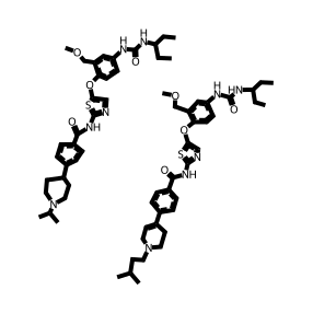 CCC(CC)NC(=O)Nc1ccc(Oc2cnc(NC(=O)c3ccc(C4=CCN(CCC(C)C)CC4)cc3)s2)c(COC)c1.CCC(CC)NC(=O)Nc1ccc(Oc2cnc(NC(=O)c3ccc(C4CCN(C(C)C)CC4)cc3)s2)c(COC)c1